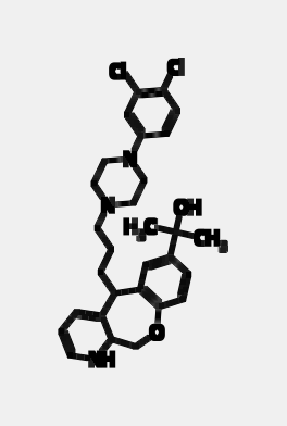 CC(C)(O)c1ccc2c(c1)C(CCCN1CCN(c3ccc(Cl)c(Cl)c3)CC1)C1=CC=CNC1CO2